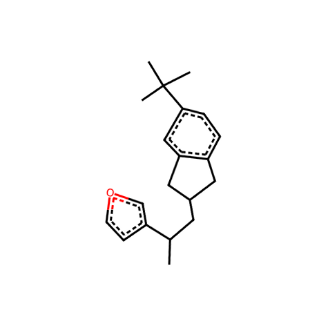 CC(CC1Cc2ccc(C(C)(C)C)cc2C1)c1ccoc1